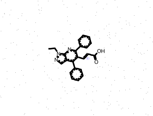 CCn1ncc2c(-c3ccccc3)c(/C=C/C(=O)O)c(-c3ccccc3)nc21